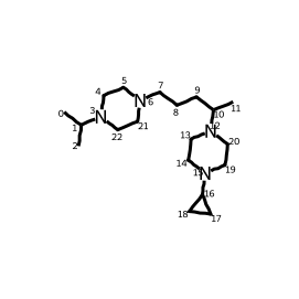 CC(C)N1CCN(CCCC(C)N2CCN(C3CC3)CC2)CC1